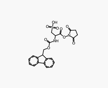 O=C(NC(CS(=O)(=O)O)C(=O)ON1C(=O)CCC1=O)OCC1c2ccccc2-c2ccccc21